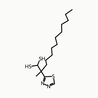 CCCCCCCCCCCC(C)(c1nncs1)C(S)S